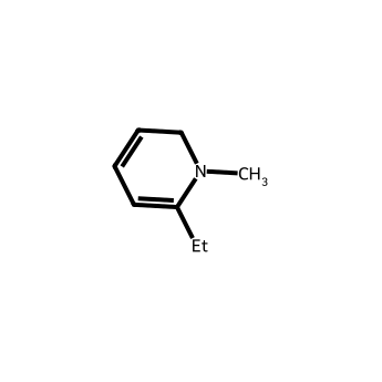 [CH2]CC1=CC=CCN1C